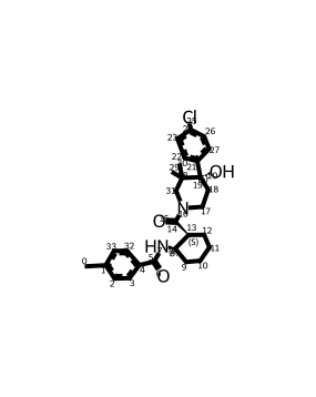 Cc1ccc(C(=O)N[C@@H]2CCCC[C@@H]2C(=O)N2CC[C@](O)(c3ccc(Cl)cc3)C(C)(C)C2)cc1